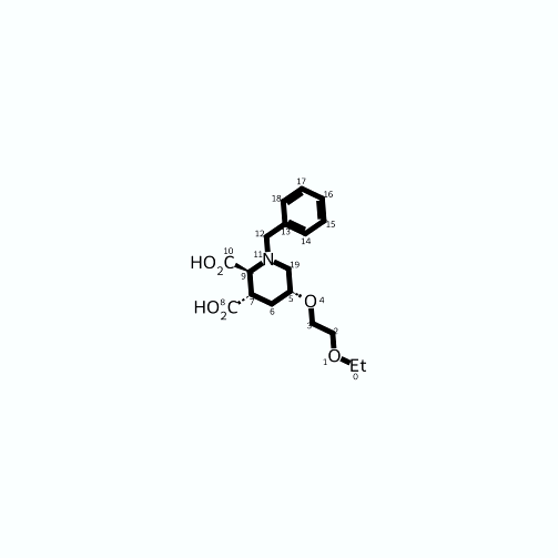 CCOCCO[C@@H]1C[C@H](C(=O)O)[C@@H](C(=O)O)N(Cc2ccccc2)C1